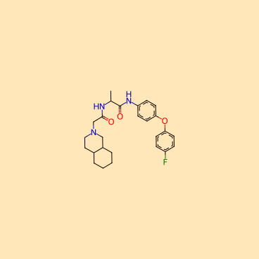 CC(NC(=O)CN1CCC2CCCCC2C1)C(=O)Nc1ccc(Oc2ccc(F)cc2)cc1